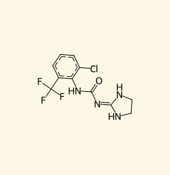 O=C(N=C1NCCN1)Nc1c(Cl)cccc1C(F)(F)F